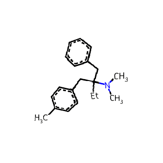 CCC(Cc1ccccc1)(Cc1ccc(C)cc1)N(C)C